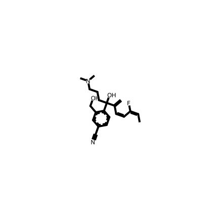 C=C(/C=C\C(F)=C/C)C(O)(CCCN(C)C)c1ccc(C#N)cc1CO